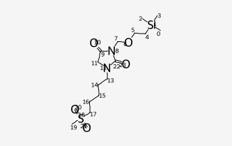 C[Si](C)(C)CCOCN1C(=O)CN(CCCCCS(C)(=O)=O)C1=O